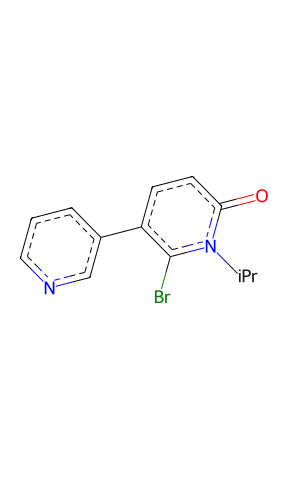 CC(C)n1c(Br)c(-c2cccnc2)ccc1=O